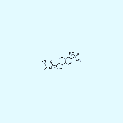 CC(NC(=O)[C@@H]1CCC2c3ccc(C(F)(C(F)(F)F)C(F)(F)F)cc3CCC21)C1CC1